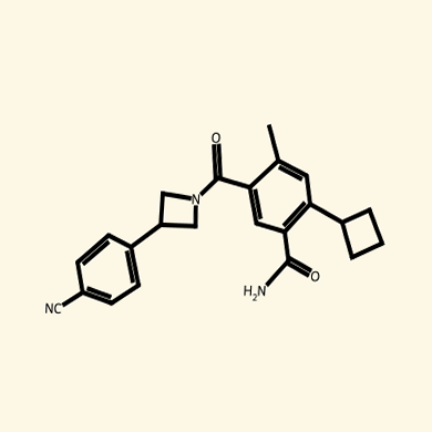 Cc1cc(C2CCC2)c(C(N)=O)cc1C(=O)N1CC(c2ccc(C#N)cc2)C1